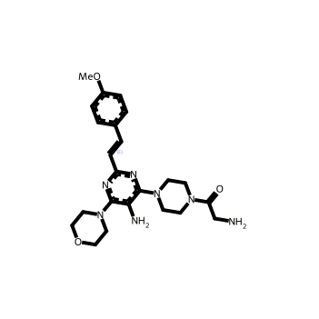 COc1ccc(/C=C/c2nc(N3CCOCC3)c(N)c(N3CCN(C(=O)CN)CC3)n2)cc1